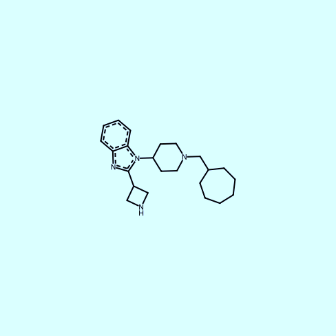 c1ccc2c(c1)nc(C1CNC1)n2C1CCN(CC2CCCCCC2)CC1